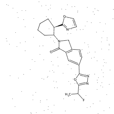 CC(F)c1nnc(-c2ccc3c(c2)C(=O)N(C2CCCC[C@H]2c2ncco2)C3)o1